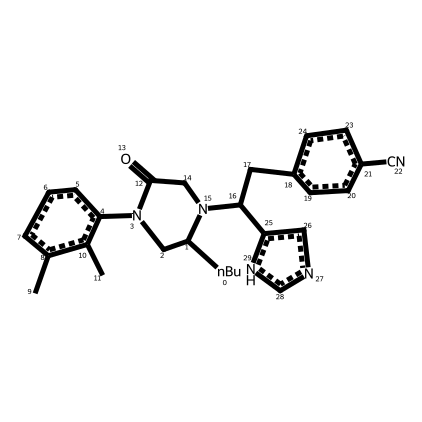 CCCCC1CN(c2cccc(C)c2C)C(=O)CN1C(Cc1ccc(C#N)cc1)c1cnc[nH]1